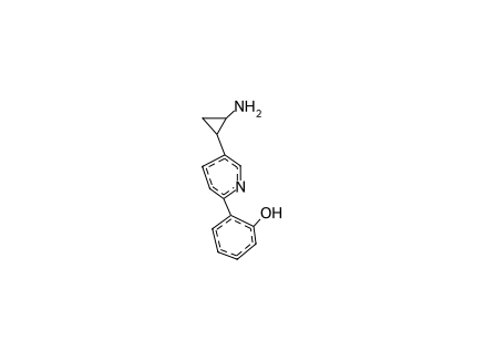 NC1CC1c1ccc(-c2ccccc2O)nc1